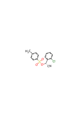 Cc1ccc(S(=O)(=O)O[C@@H](C#N)c2ccccc2Cl)cc1